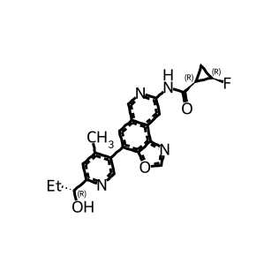 CC[C@@H](O)c1cc(C)c(-c2cc3cnc(NC(=O)[C@H]4C[C@H]4F)cc3c3ncoc23)cn1